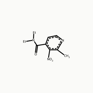 CCN(CC)C(=O)c1ccnc(C)c1[N+](=O)[O-]